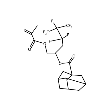 C=C(C)C(=O)OCC(CC(F)(F)C(F)(C(F)(F)F)C(F)(F)F)OC(=O)C12CC3CC(CC(C3)C1)C2